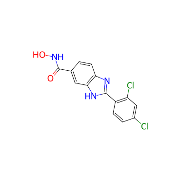 O=C(NO)c1ccc2nc(-c3ccc(Cl)cc3Cl)[nH]c2c1